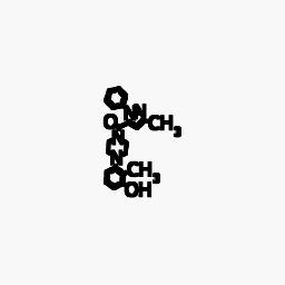 Cc1cc(C(=O)N2CCN(c3cccc(O)c3C)CC2)n(-c2ccccc2)n1